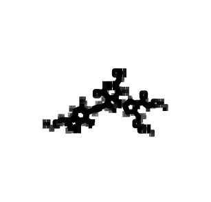 C=CC(=O)N1C[C@@H](n2nc(C#Cc3c(F)cc4c(ncn4CC)c3F)c(C(N)=O)c2NCCO)C[C@@H]1COC